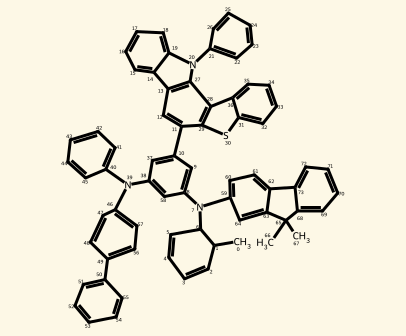 CC1C=CC=CC1N(c1cc(-c2cc3c4ccccc4n(-c4ccccc4)c3c3c2sc2ccccc23)cc(N(c2ccccc2)c2ccc(-c3ccccc3)cc2)c1)c1ccc2c(c1)C(C)(C)c1ccccc1-2